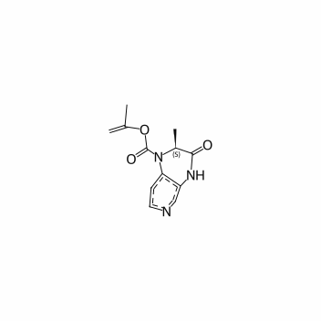 C=C(C)OC(=O)N1c2ccncc2NC(=O)[C@@H]1C